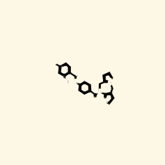 O=C(Nc1ccc(C(=O)N2Cc3cccn3Cc3ccoc32)cc1)c1ccc(Cl)cc1Cl